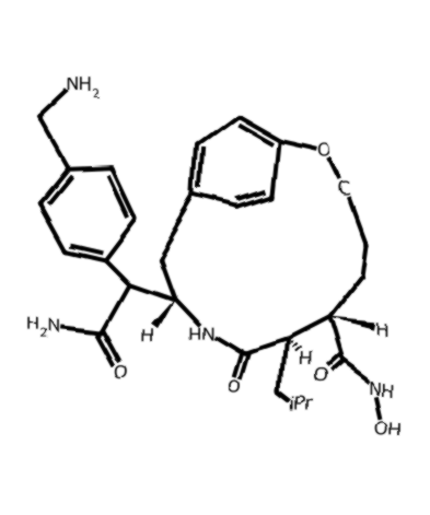 CC(C)C[C@H]1C(=O)N[C@H](C(C(N)=O)c2ccc(CN)cc2)Cc2ccc(cc2)OCCC[C@@H]1C(=O)NO